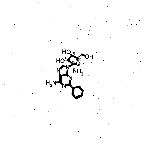 Nc1nc(-c2ccccc2)nc2c1ncn2[C@]1(N)O[C@H](CO)[C@@H](O)[C@H]1O